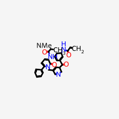 C=CC(=O)NC1C=C(C(=O)C2C=C(Cn3c(-c4ccccc4)ccc(NC(=O)[C@H](C)NC)c3=O)C=NC2)C=CC1